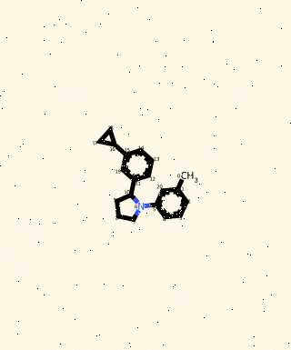 Cc1cccc(N2CCCC2c2cccc(C3CC3)c2)c1